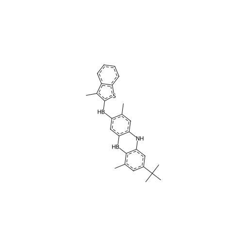 Cc1cc2c(cc1Bc1sc3ccccc3c1C)Bc1c(C)cc(C(C)(C)C)cc1N2